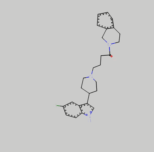 O=C(CCCN1CCC(c2c[nH]c3ccc(Cl)cc23)CC1)N1CCc2ccccc2C1